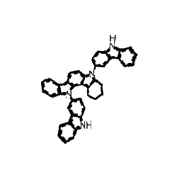 c1ccc2c(c1)[nH]c1ccc(-n3c4c(c5c3ccc3c6ccccc6n(-c6ccc7[nH]c8ccccc8c7c6)c35)CCCC4)cc12